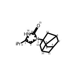 CC(C)c1cn(C23CC4CC(CC(C4)C2)C3)c(=O)[nH]1